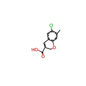 Cc1cc2c(cc1Cl)C=C(C(=O)O)CO2